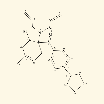 C=CCN(CC=C)C1(C(=O)c2ccc(C3CCCC3)cc2)CC=C(C)CC1CC